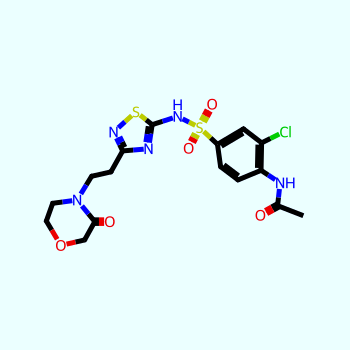 CC(=O)Nc1ccc(S(=O)(=O)Nc2nc(CCN3CCOCC3=O)ns2)cc1Cl